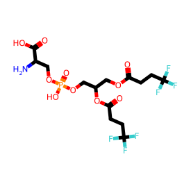 NC(COP(=O)(O)OCC(COC(=O)CCC(F)(F)F)OC(=O)CCC(F)(F)F)C(=O)O